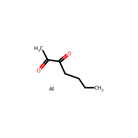 CCCCC(=O)C(C)=O.[Al]